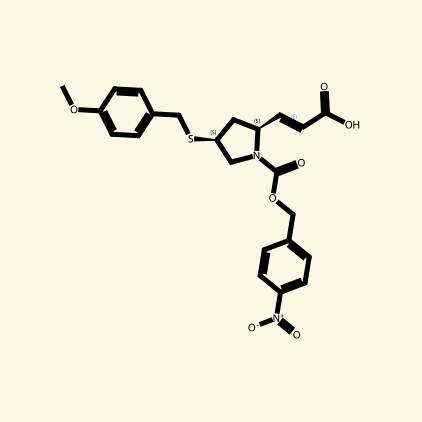 COc1ccc(CS[C@H]2C[C@@H](/C=C/C(=O)O)N(C(=O)OCc3ccc([N+](=O)[O-])cc3)C2)cc1